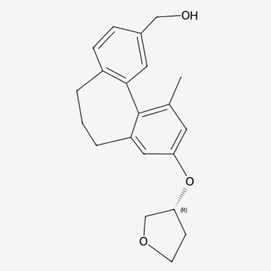 Cc1cc(O[C@@H]2CCOC2)cc2c1-c1cc(CO)ccc1CCC2